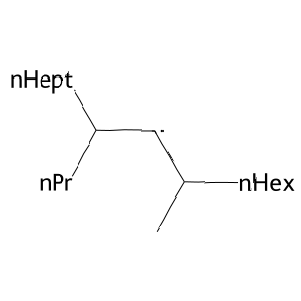 CCCCCCCC([CH]C(C)CCCCCC)CCC